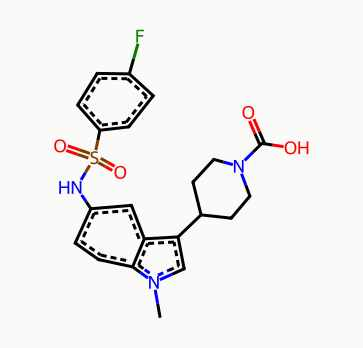 Cn1cc(C2CCN(C(=O)O)CC2)c2cc(NS(=O)(=O)c3ccc(F)cc3)ccc21